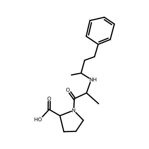 CC(CCc1ccccc1)NC(C)C(=O)N1CCCC1C(=O)O